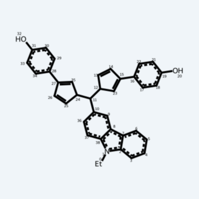 CCn1c2ccccc2c2cc(C(C3C=CC(c4ccc(O)cc4)=C3)C3C=CC(c4ccc(O)cc4)=C3)ccc21